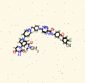 CN(C)C(=O)c1cc(N2CCC(=O)NC2=O)c2ccn(C3CCN(CC4CCN(c5ccc(C(=O)N[C@H]6CC[C@H](Oc7ccc(C#N)c(Cl)c7)CC6)nn5)CC4)CC3)c2c1